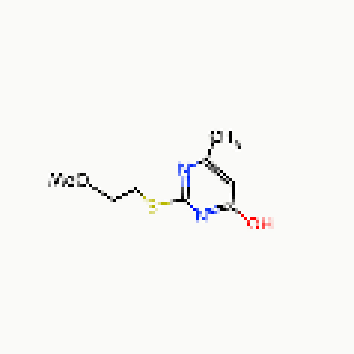 COCCSc1nc(C)cc(O)n1